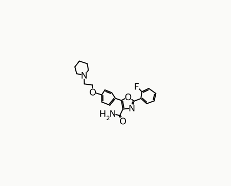 NC(=O)c1nc(-c2ccccc2F)oc1-c1ccc(OCCN2CCCCC2)cc1